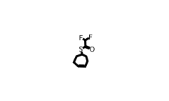 O=C(SC1CCC=CCC1)C(F)F